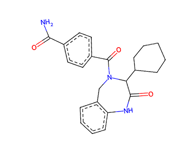 NC(=O)c1ccc(C(=O)N2Cc3ccccc3NC(=O)C2C2CCCCC2)cc1